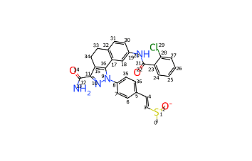 C[S+]([O-])C=Cc1ccc(-n2nc(C(N)=O)c3c2-c2cc(NC(=O)c4ccccc4Cl)ccc2CC3)cc1